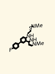 CN/C=C\C(=N)c1cc(-c2ccc(F)cc2)ccc1NCCSNC